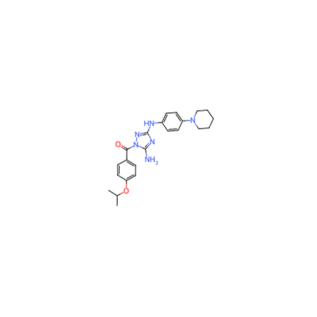 CC(C)Oc1ccc(C(=O)n2nc(Nc3ccc(N4CCCCC4)cc3)nc2N)cc1